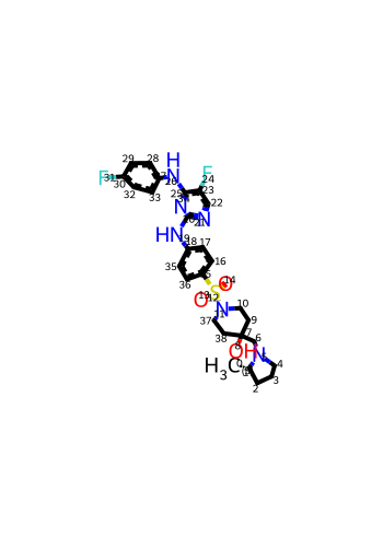 C[C@H]1CCCN1CC1(O)CCN(S(=O)(=O)c2ccc(Nc3ncc(F)c(Nc4ccc(F)cc4)n3)cc2)CC1